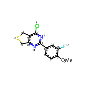 COc1ccc(-c2nc(Cl)c3c(n2)CSC3)cc1F